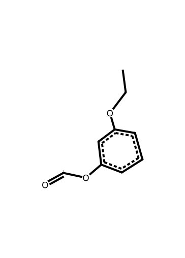 CCOc1cccc(O[C]=O)c1